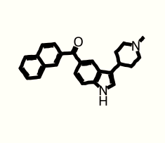 CN1CCC(c2c[nH]c3ccc(C(=O)c4ccc5ccccc5c4)cc23)CC1